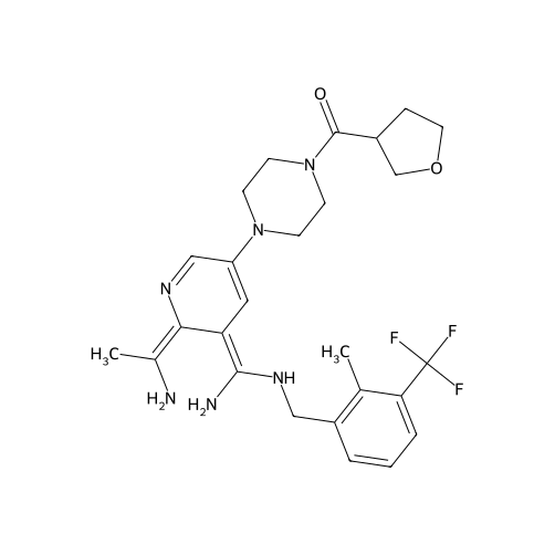 C/C(N)=c1\ncc(N2CCN(C(=O)C3CCOC3)CC2)c\c1=C(\N)NCc1cccc(C(F)(F)F)c1C